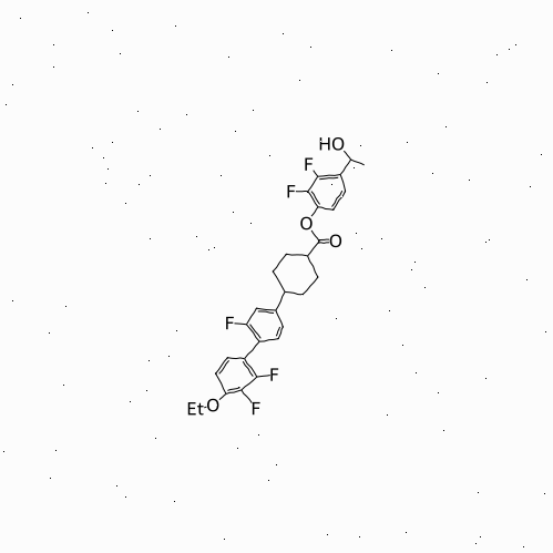 CCOc1ccc(-c2ccc(C3CCC(C(=O)Oc4ccc(C(C)O)c(F)c4F)CC3)cc2F)c(F)c1F